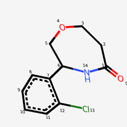 O=C1CCOCC(c2ccccc2Cl)N1